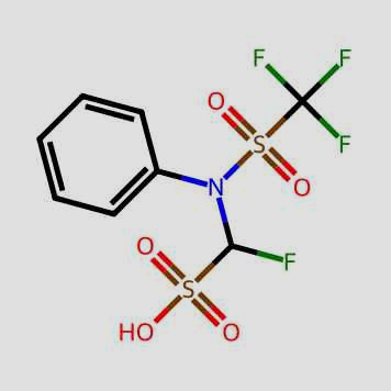 O=S(=O)(O)C(F)N(c1ccccc1)S(=O)(=O)C(F)(F)F